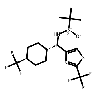 CC(C)(C)[S@@+]([O-])NC(c1csc(C(F)(F)F)n1)[C@H]1CC[C@H](C(F)(F)F)CC1